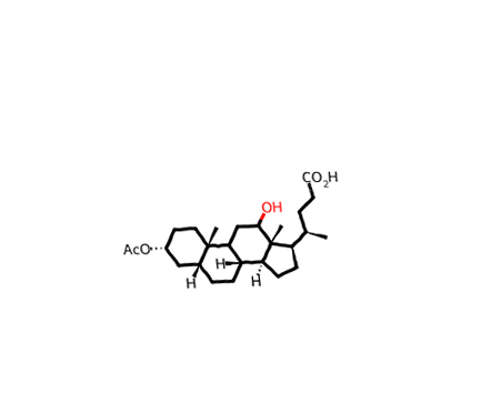 CC(=O)O[C@@H]1CC[C@]2(C)C3CC(O)[C@]4(C)[C@@H]([C@H](C)CCC(=O)O)CC[C@H]4[C@@H]3CC[C@@H]2C1